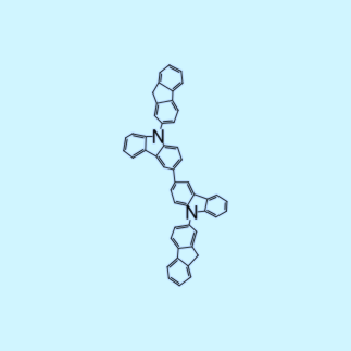 c1ccc2c(c1)Cc1cc(-n3c4ccccc4c4cc(-c5ccc6c(c5)c5ccccc5n6-c5ccc6c(c5)Cc5ccccc5-6)ccc43)ccc1-2